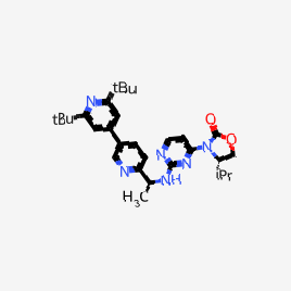 CC(C)[C@H]1COC(=O)N1c1ccnc(N[C@@H](C)c2ccc(-c3cc(C(C)(C)C)nc(C(C)(C)C)c3)cn2)n1